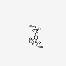 CCN(/N=C/c1ccc2c(c1)C(CC)(CC)C(=O)N2C(=O)OC(C)(C)C)C(=O)OC(C)(C)C